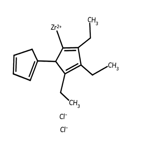 CCC1=[C]([Zr+2])C(C2=CC=CC2)C(CC)=C1CC.[Cl-].[Cl-]